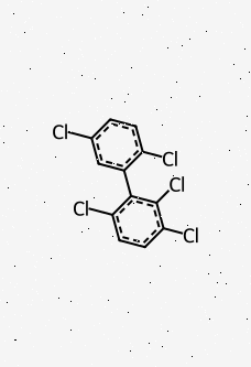 Clc1ccc(Cl)c(-c2c(Cl)ccc(Cl)c2Cl)c1